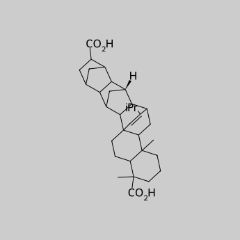 CC(C)C1=CC23CCC4C(C)(C(=O)O)CCCC4(C)C2CC1C1C3C2C[C@@H]1C1C3CC(CC3C(=O)O)C21